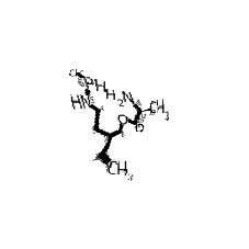 CCC(CCNPCl)COC(=O)[C@H](C)N